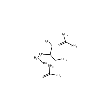 CCC(C)CC.CCCCC.NC(N)=S.NC(N)=S